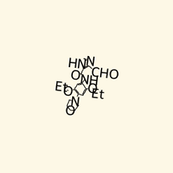 CCOc1cc(N2CCOCC2)c(OCC)cc1NC(=O)c1[nH]cnc1C=O